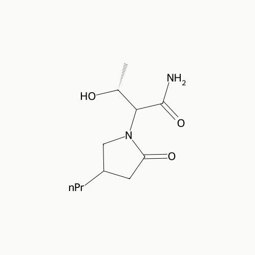 CCCC1CC(=O)N(C(C(N)=O)[C@@H](C)O)C1